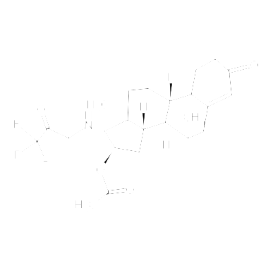 CC(=O)O[C@@H]1C[C@H]2[C@@H]3CCC4=CC(=O)CC[C@]4(C)[C@H]3CC[C@]2(C)[C@H]1NCC(=O)C(F)(F)F